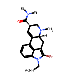 CCN(CC)C(=O)[C@@H]1C=C2c3cccc4c3c(c(Br)n4CNC(C)=O)C[C@H]2N(C)C1